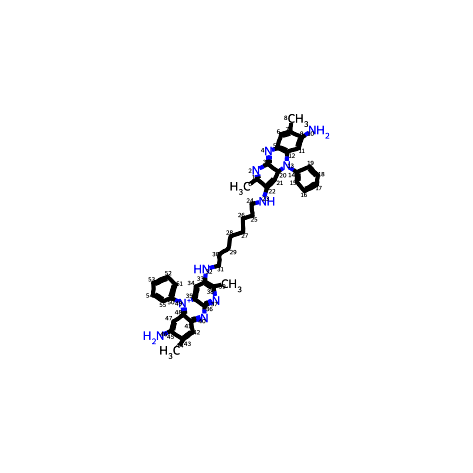 CC1=NC2=Nc3cc(C)c(N)cc3N(c3ccccc3)C2C=C1NCCCCCCCCNc1cc2c(nc1C)nc1cc(C)c(N)cc1[n+]2-c1ccccc1